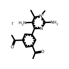 CC(=O)c1cc(C(C)=O)cc(-c2nc(N)[n+](C)c(C)c2N)c1.[I-]